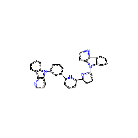 c1cc(-c2cccc(-c3cccc(-n4c5ccccc5c5ncccc54)n3)n2)cc(-n2c3ccccc3c3ncccc32)c1